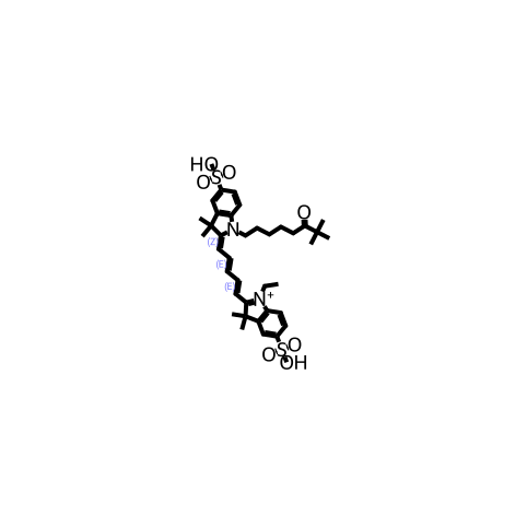 CC[N+]1=C(/C=C/C=C/C=C2\N(CCCCCC(=O)C(C)(C)C)c3ccc(S(=O)(=O)O)cc3C2(C)C)C(C)(C)c2cc(S(=O)(=O)O)ccc21